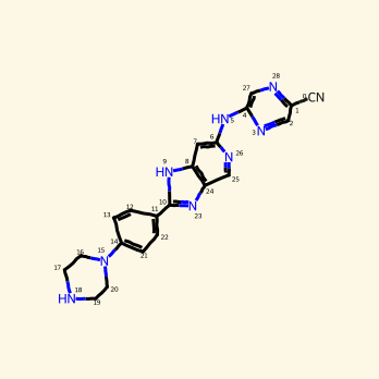 N#Cc1cnc(Nc2cc3[nH]c(-c4ccc(N5CCNCC5)cc4)nc3cn2)cn1